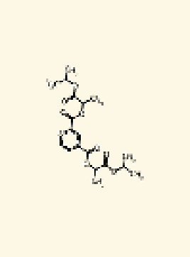 CC(C)OC(=O)C(C)OC(=O)c1ccnc(C(=O)OC(C)C(=O)OC(C)C)c1